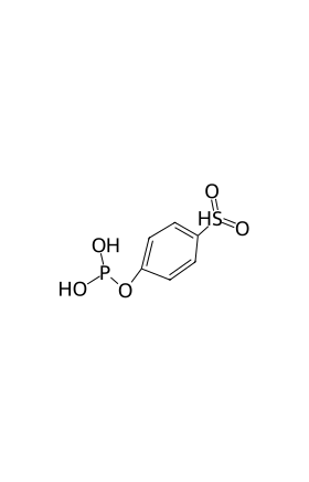 O=[SH](=O)c1ccc(OP(O)O)cc1